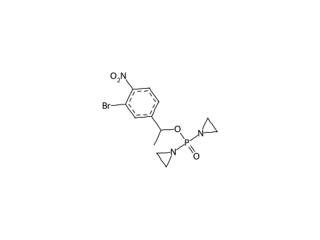 CC(OP(=O)(N1CC1)N1CC1)c1ccc([N+](=O)[O-])c(Br)c1